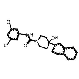 O=C(Nc1cc(Cl)cc(Cl)c1)N1CCC(O)(c2ccc3ccccc3c2)CC1